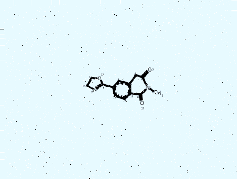 CN1C(=O)Cc2cc(C3=NCCO3)ccc2C1=O